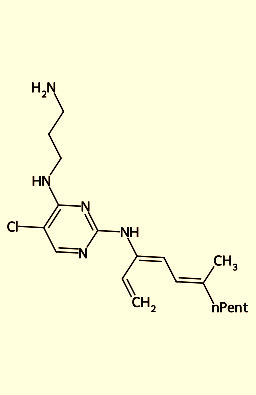 C=C/C(=C\C=C(/C)CCCCC)Nc1ncc(Cl)c(NCCCN)n1